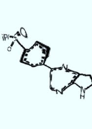 CC(C)S(=O)(=O)c1ccc(-c2cnc3c(n2)CCN3)cc1